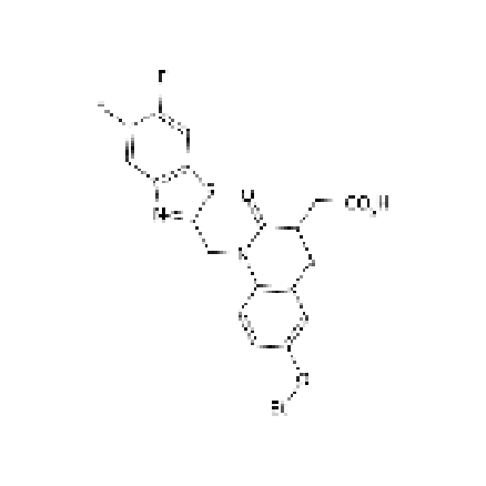 CCOc1ccc2c(c1)SC(CC(=O)O)C(=O)N2Cc1nc2cc(F)c(F)cc2s1